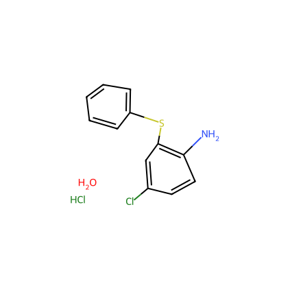 Cl.Nc1ccc(Cl)cc1Sc1ccccc1.O